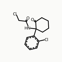 O=C(CCl)NC1(c2ccccc2Cl)CCCCC1=O